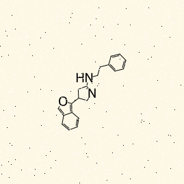 c1ccc(CCNC2=NCC(c3occ4ccccc34)C2)cc1